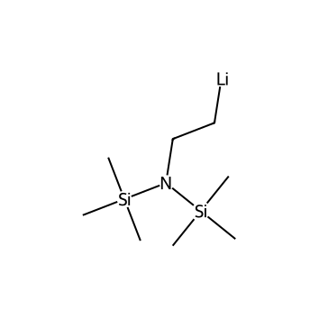 [Li][CH2]CN([Si](C)(C)C)[Si](C)(C)C